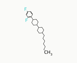 CCCCCCCC1CCC(C2CCC(c3ccc(F)cc3F)CC2)CC1